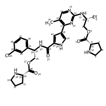 CC[C@H](COC(=O)[C@@H]1CCCN1)Nc1ncc(C)c(-c2c[nH]c(C(=O)N[C@H](COC(=O)[C@@H]3CCCN3)c3cccc(Cl)c3)c2)n1